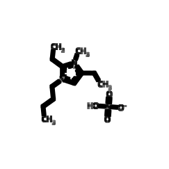 CCCC[n+]1cc(CC)n(C)c1CC.O=S(=O)([O-])O